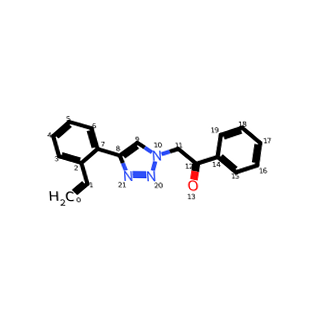 C=Cc1ccccc1-c1cn(CC(=O)c2ccccc2)nn1